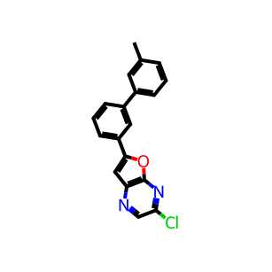 Cc1cccc(-c2cccc(-c3cc4ncc(Cl)nc4o3)c2)c1